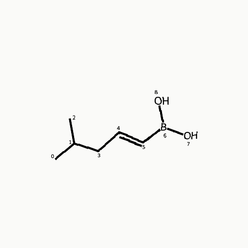 CC(C)C/C=C/B(O)O